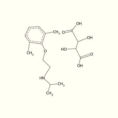 Cc1cccc(C)c1OCCNC(C)C.O=C(O)C(O)C(O)C(=O)O